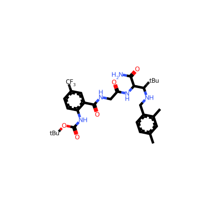 Cc1ccc(CNC(C(NC(=O)CNC(=O)c2cc(C(F)(F)F)ccc2NC(=O)OC(C)(C)C)C(N)=O)C(C)(C)C)c(C)c1